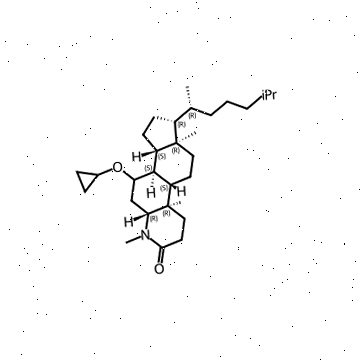 CC(C)CCC[C@@H](C)[C@H]1CC[C@H]2[C@@H]3C(OC4CC4)C[C@H]4N(C)C(=O)CC[C@]4(C)[C@H]3CC[C@]12C